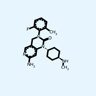 CN[C@H]1CC[C@H](N2C(=O)N(c3c(C)cccc3F)Cc3cnc(N)cc32)CC1